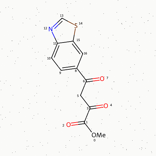 COC(=O)C(=O)CC(=O)c1ccc2ncsc2c1